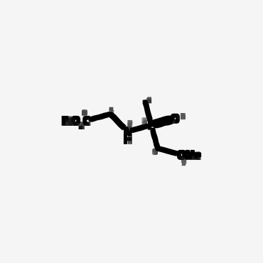 CCOC(=O)CNP(C)(=O)COC